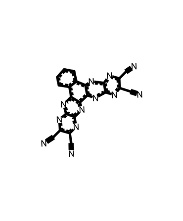 N#Cc1nc2nc3c4ccccc4c4nc5nc(C#N)c(C#N)nc5nc4c3nc2nc1C#N